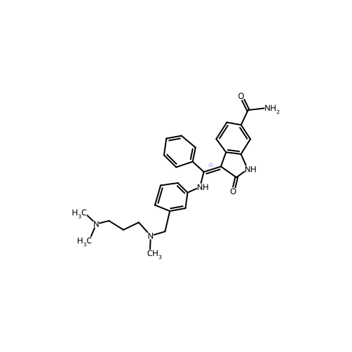 CN(C)CCCN(C)Cc1cccc(N/C(=C2\C(=O)Nc3cc(C(N)=O)ccc32)c2ccccc2)c1